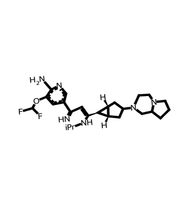 CC(C)N/C(=C\C(=N)c1cnc(N)c(OC(F)F)c1)[C@H]1[C@@H]2CC(N3CCN4CCCC4C3)C[C@@H]21